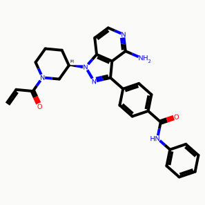 C=CC(=O)N1CCC[C@@H](n2nc(-c3ccc(C(=O)Nc4ccccc4)cc3)c3c(N)nccc32)C1